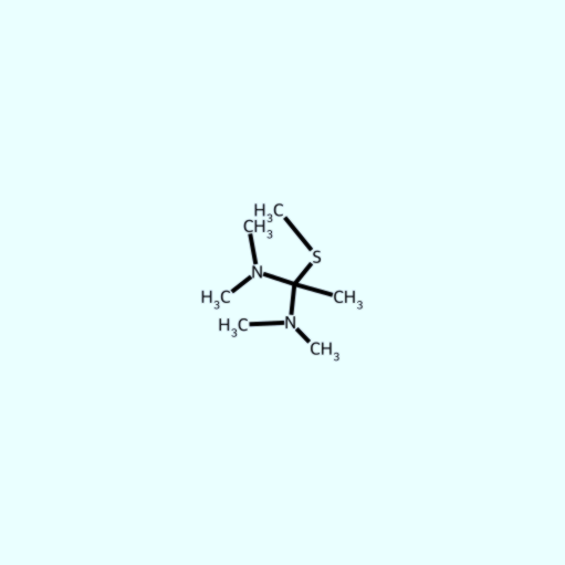 CSC(C)(N(C)C)N(C)C